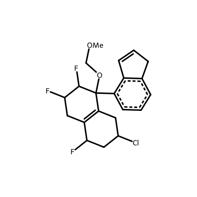 COCOC1(c2cccc3c2C=CC3)C2=C(CC(F)C1F)C(F)CC(Cl)C2